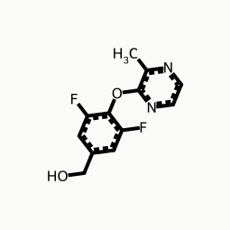 Cc1nccnc1Oc1c(F)cc(CO)cc1F